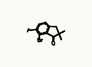 CC1(C)Cc2ccc(F)c(Br)c2C1=O